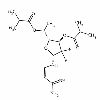 CC(C)C(=O)OC(C)[C@H]1O[C@@H](N/C=C\C(=N)N)C(F)(F)[C@@H]1OC(=O)C(C)C